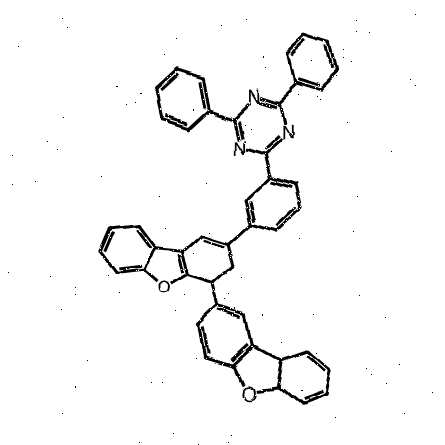 C1=CC2Oc3ccc(C4CC(c5cccc(-c6nc(-c7ccccc7)nc(-c7ccccc7)n6)c5)=Cc5c4oc4ccccc54)cc3C2C=C1